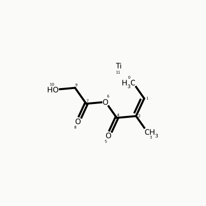 CC=C(C)C(=O)OC(=O)CO.[Ti]